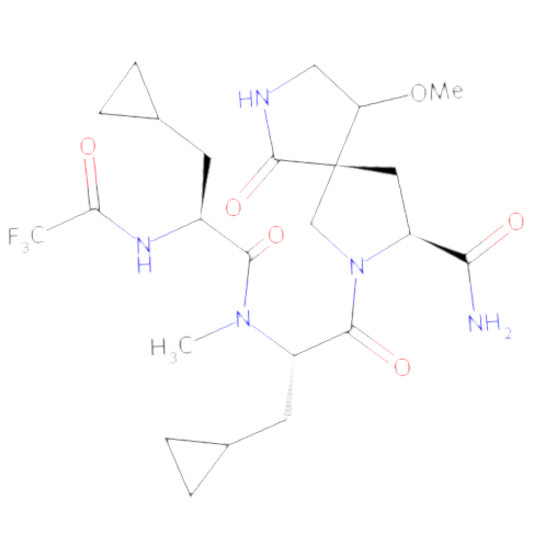 COC1CNC(=O)[C@]12C[C@@H](C(N)=O)N(C(=O)[C@H](CC1CC1)N(C)C(=O)[C@H](CC1CC1)NC(=O)C(F)(F)F)C2